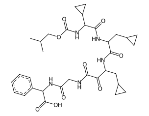 CC(C)COC(=O)NC(C(=O)NC(CC1CC1)C(=O)NC(CC1CC1)C(=O)C(=O)NCC(=O)NC(C(=O)O)c1ccccc1)C1CC1